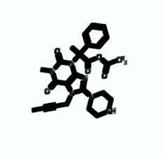 CC#CCn1c(N2CCNCC2)nc2c1c(=O)n(C)c(=O)n2C(C)(C(=O)OC(=O)C(F)(F)F)c1ccccc1